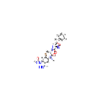 CC(=O)Nc1cc2c(cc1C=N)N(C)C(=O)[C@@H](NC(=O)c1cc(Cc3ccccc3)on1)CS2